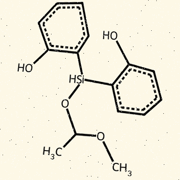 COC(C)O[SiH](c1ccccc1O)c1ccccc1O